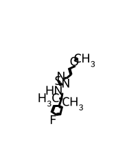 COC/C=C/c1nsc(NCC(C)(C)c2ccc(F)cc2)n1